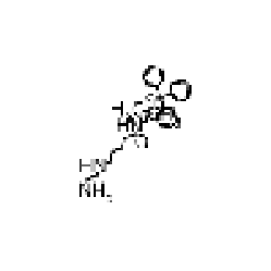 CC(C)(CNC(=O)CCCCNCCN)SC(c1ccccc1)(c1ccccc1)c1ccccc1